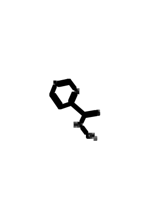 CNC(=S)c1ccncn1